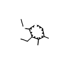 COc1ncc(Cl)c(Br)c1CO